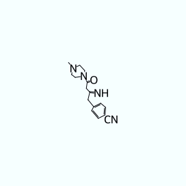 CN1CCN(C(=O)CC(=N)Cc2ccc(C#N)cc2)CC1